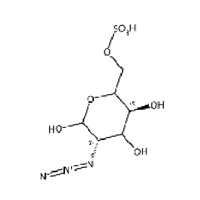 [N-]=[N+]=N[C@@H]1C(O)OC(COS(=O)(=O)O)[C@@H](O)C1O